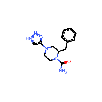 NC(=O)N1CCN(c2c[nH]nn2)CC1Cc1ccccc1